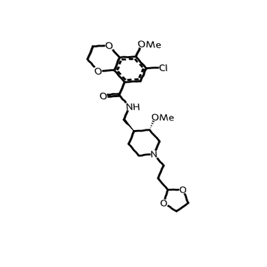 COc1c(Cl)cc(C(=O)NC[C@@H]2CCN(CCC3OCCO3)C[C@H]2OC)c2c1OCCO2